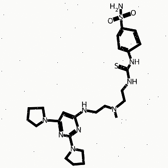 CN(CCNC(=S)Nc1ccc(S(N)(=O)=O)cc1)CCNc1cc(N2CCCC2)nc(N2CCCC2)n1